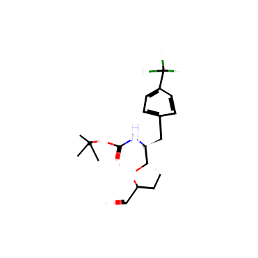 CC(C)(C)OC(=O)N[C@@H](Cc1ccc(C(F)(F)F)cc1)[C@@H]1CCC(C=O)O1